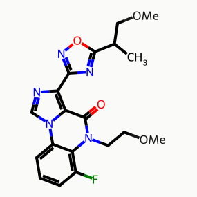 COCCn1c(=O)c2c(-c3noc(C(C)COC)n3)ncn2c2cccc(F)c21